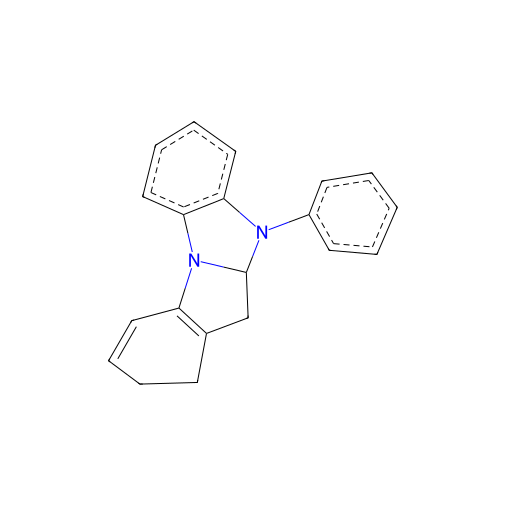 C1=CC2=C(CC1)CC1N2c2ccccc2N1c1ccccc1